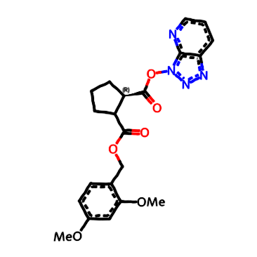 COc1ccc(COC(=O)C2CCC[C@H]2C(=O)On2nnc3cccnc32)c(OC)c1